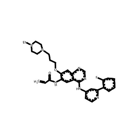 C=CC(=O)Nc1cc2c(Nc3ccnc(-c4ccccc4F)c3)ncnc2cc1OCCCN1CCN(CC)CC1